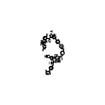 Cc1ncsc1-c1ccc(CNC(=O)[C@@H]2C[C@@H](O)CN2C(=O)C(NC(=O)CN2CCC(CN3CCN(c4ccc(-c5cnc6[nH]cc(C(=O)c7c(F)ccc(N(C)S(=O)(=O)N8CC[C@@H](F)C8)c7F)c6c5)cc4)CC3)CC2)C(C)(C)C)cc1